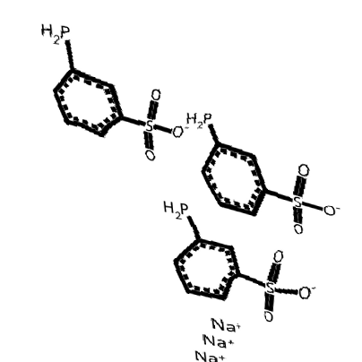 O=S(=O)([O-])c1cccc(P)c1.O=S(=O)([O-])c1cccc(P)c1.O=S(=O)([O-])c1cccc(P)c1.[Na+].[Na+].[Na+]